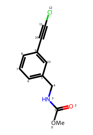 COC(=O)NCc1cccc(C#CCl)c1